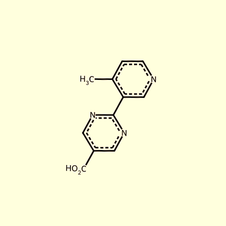 Cc1ccncc1-c1ncc(C(=O)O)cn1